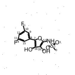 CS(=O)(=O)Nc1oc(-c2cc(F)cc(F)c2)c(O)c1O